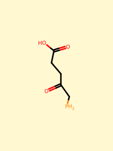 O=C(O)CCC(=O)CP